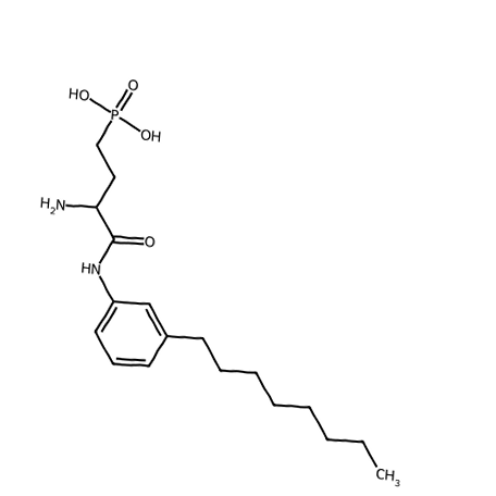 CCCCCCCCc1cccc(NC(=O)C(N)CCP(=O)(O)O)c1